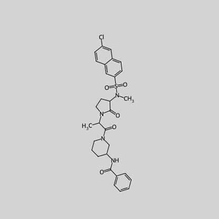 CC(C(=O)N1CCCC(NC(=O)c2ccccc2)C1)N1CCC(N(C)S(=O)(=O)c2ccc3cc(Cl)ccc3c2)C1=O